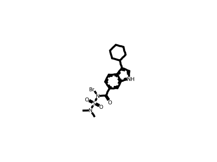 CN(C)S(=O)(=O)N(Br)C(=O)c1ccc2c(C3CCCCC3)c[nH]c2c1